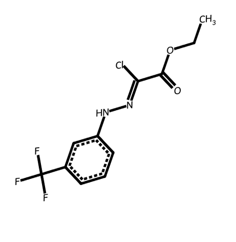 CCOC(=O)C(Cl)=NNc1cccc(C(F)(F)F)c1